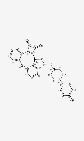 O=c1c(=O)c2c1c1ccccc1sc1ccccc1n2CCCN1CCN(C2C=CC(F)=CC2)CC1